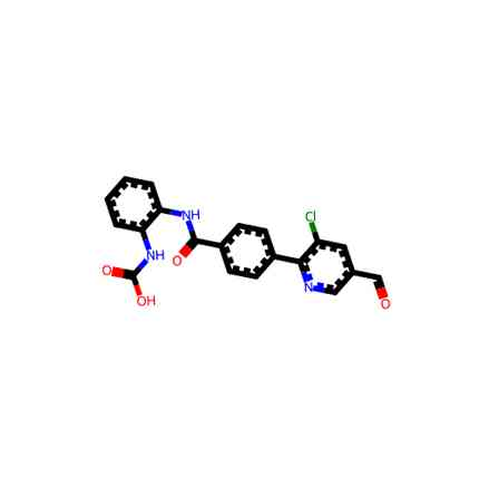 O=Cc1cnc(-c2ccc(C(=O)Nc3ccccc3NC(=O)O)cc2)c(Cl)c1